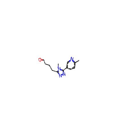 Cc1ccc(-c2nnc(CCCC=O)n2C)cn1